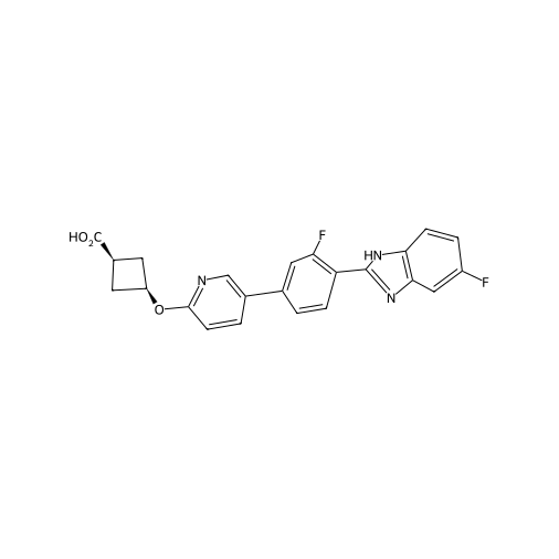 O=C(O)[C@H]1C[C@@H](Oc2ccc(-c3ccc(-c4nc5cc(F)ccc5[nH]4)c(F)c3)cn2)C1